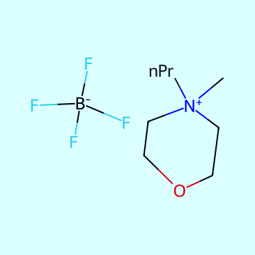 CCC[N+]1(C)CCOCC1.F[B-](F)(F)F